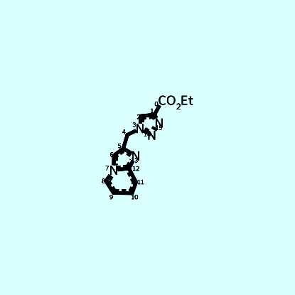 CCOC(=O)c1cn(Cc2cn3ccccc3n2)nn1